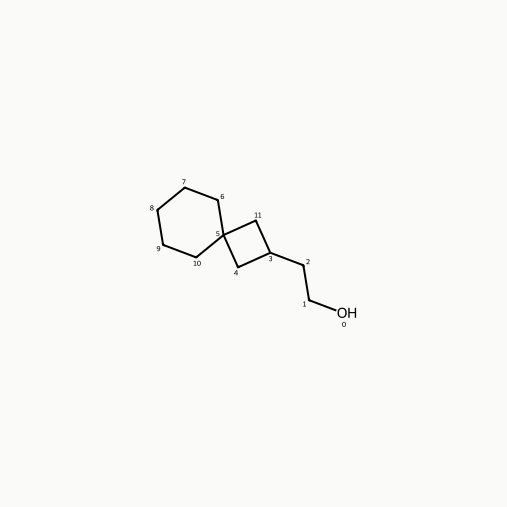 OCCC1CC2(CCCCC2)C1